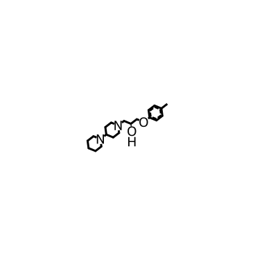 Cc1ccc(OC[C@H](O)CN2CCC(N3CCCCC3)CC2)cc1